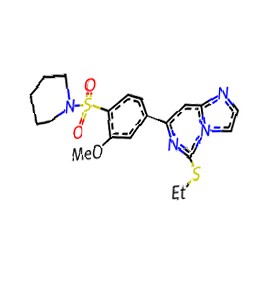 CCSc1nc(-c2ccc(S(=O)(=O)N3CCCCC3)c(OC)c2)cc2nccn12